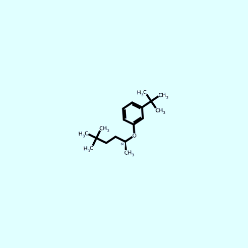 C[C@@H](CCC(C)(C)C)Oc1cccc(C(C)(C)C)c1